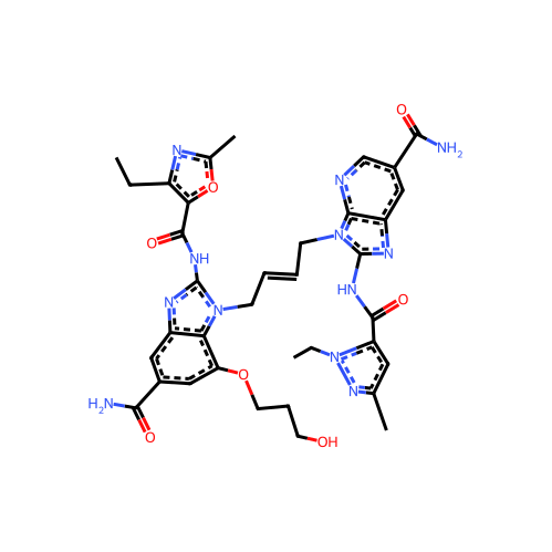 CCc1nc(C)oc1C(=O)Nc1nc2cc(C(N)=O)cc(OCCCO)c2n1C/C=C/Cn1c(NC(=O)c2cc(C)nn2CC)nc2cc(C(N)=O)cnc21